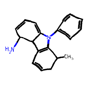 CC1CC=CC2=C1N(c1ccccc1)C1=CC=CC(N)C12